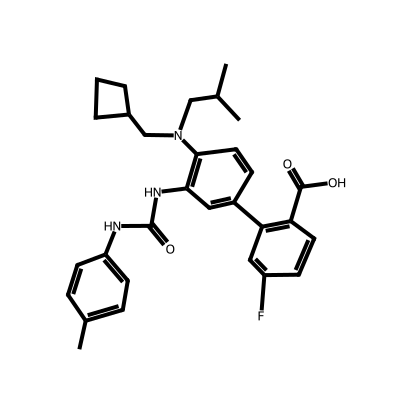 Cc1ccc(NC(=O)Nc2cc(-c3cc(F)ccc3C(=O)O)ccc2N(CC(C)C)CC2CCC2)cc1